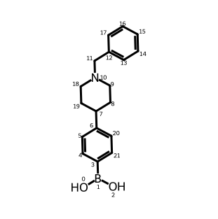 OB(O)c1ccc(C2CCN(Cc3ccccc3)CC2)cc1